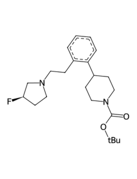 CC(C)(C)OC(=O)N1CCC(c2ccccc2CCN2CC[C@@H](F)C2)CC1